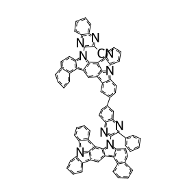 N#Cc1nc2ccccc2nc1-n1c2ccc3ccccc3c2c2cc3c4cc(-c5ccc6nc(-n7c8ccc9ccccc9c8c8cc9c%10ccccc%10n%10c%11ccccc%11c(c87)c9%10)c(-c7ccccc7)nc6c5)ccc4n4c5ccccc5c(c21)c34